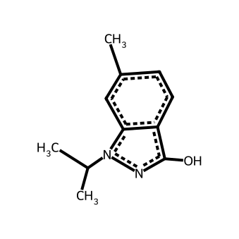 Cc1ccc2c(O)nn(C(C)C)c2c1